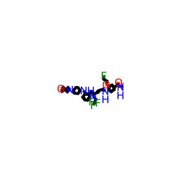 CNC(=O)c1ccc(NCC#Cc2cc3c(N[C@H]4CC[C@H](N5CC6(COC6)C5)CC4)cccc3n2CC(F)(F)F)c(OCCF)c1